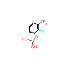 OB(O)Oc1cccc(C(F)(F)F)c1F